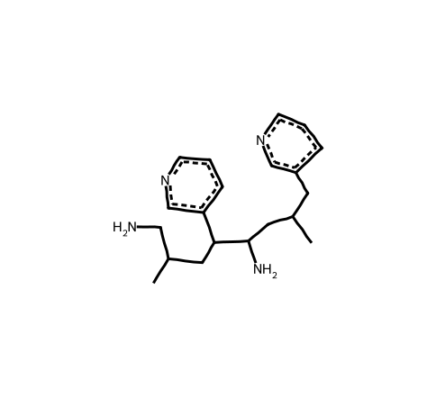 CC(Cc1cccnc1)CC(N)C(CC(C)CN)c1cccnc1